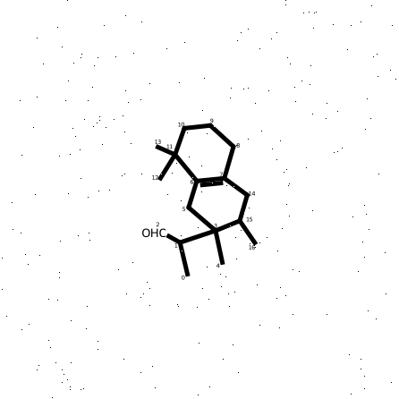 CC(C=O)C1(C)CC2=C(CCCC2(C)C)CC1C